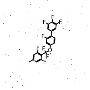 Cc1cc(F)c(C(F)(F)Oc2ccc(-c3cc(F)c(F)c(F)c3)c(F)c2)c(F)c1